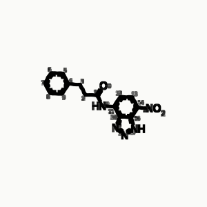 O=C(CCc1ccccc1)Nc1ccc([N+](=O)[O-])c2[nH]nnc12